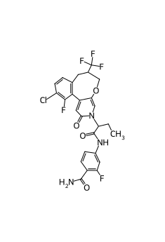 CCC(C(=O)Nc1ccc(C(N)=O)c(F)c1)n1cc2c(cc1=O)-c1c(ccc(Cl)c1F)CC(C(F)(F)F)CO2